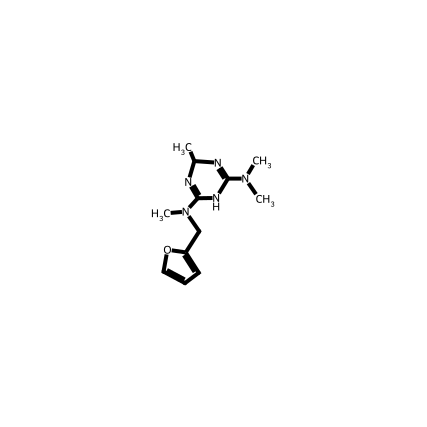 CC1N=C(N(C)C)NC(N(C)Cc2ccco2)=N1